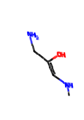 CN/C=C(\O)CN